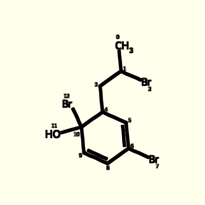 CC(Br)CC1C=C(Br)C=CC1(O)Br